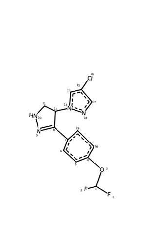 FC(F)Oc1ccc(C2=NNCC2n2cc(Cl)cn2)cc1